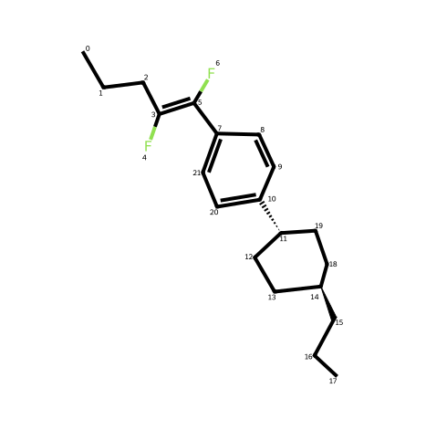 CCC/C(F)=C(\F)c1ccc([C@H]2CC[C@H](CCC)CC2)cc1